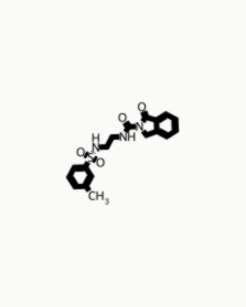 Cc1cccc(S(=O)(=O)NCCNC(=O)N2Cc3ccccc3C2=O)c1